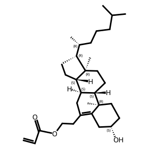 C=CC(=O)OCCC1=C2C[C@@H](O)CC[C@]2(C)[C@H]2CC[C@]3(C)[C@@H]([C@H](C)CCCC(C)C)CC[C@H]3[C@@H]2C1